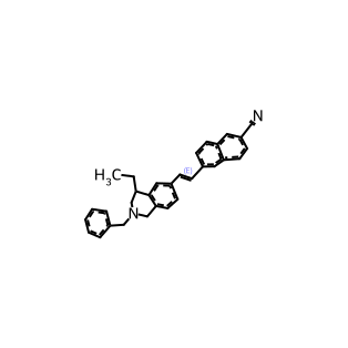 CCC1CN(Cc2ccccc2)Cc2ccc(/C=C/c3ccc4cc(C#N)ccc4c3)cc21